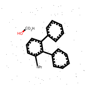 CCCc1cccc(-c2ccccc2)c1-c1ccccc1.O=C(O)O